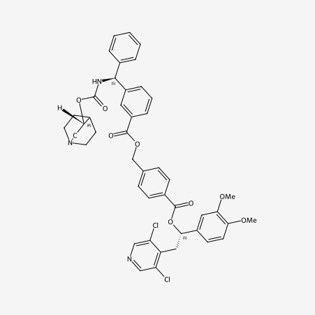 COc1ccc([C@H](Cc2c(Cl)cncc2Cl)OC(=O)c2ccc(COC(=O)c3cccc([C@@H](NC(=O)O[C@H]4CN5CCC4CC5)c4ccccc4)c3)cc2)cc1OC